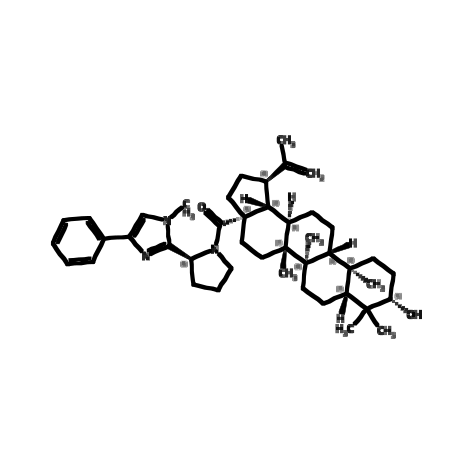 C=C(C)[C@@H]1CC[C@]2(C(=O)N3CCC[C@H]3c3nc(-c4ccccc4)cn3C)CC[C@]3(C)[C@H](CC[C@@H]4[C@@]5(C)CC[C@H](O)C(C)(C)[C@@H]5CC[C@]43C)[C@@H]12